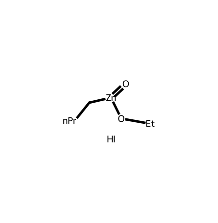 CCC[CH2][Zn](=[O])[O]CC.I